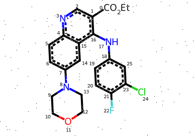 CCOC(=O)c1cnc2ccc(N3CCOCC3)cc2c1Nc1ccc(F)c(Cl)c1